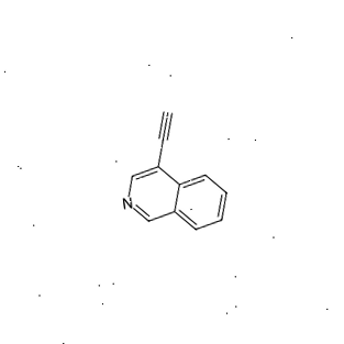 C#Cc1cncc2ccccc12